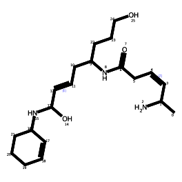 CC(N)/C=C\CC(=O)NC(C/C=C/C(O)NC1C=CCCC1)CCCO